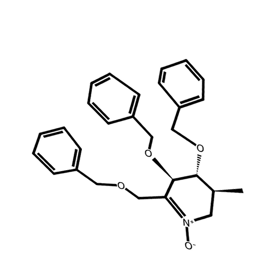 C[C@H]1C[N+]([O-])=C(COCc2ccccc2)[C@@H](OCc2ccccc2)[C@@H]1OCc1ccccc1